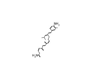 C=C(/C=C\CCC(/C=C/c1ccc(N)c(C)c1)=C\C(C)C)/C=C/C(=C)/C=C\CC(=C)N